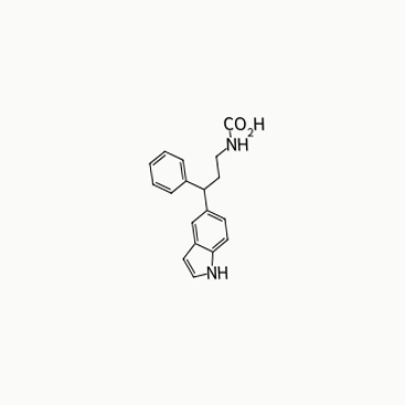 O=C(O)NCCC(c1ccccc1)c1ccc2[nH]ccc2c1